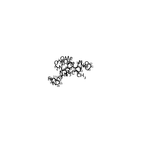 CO[C@]1(C)COCCN(c2nc(OC[C@@]34CCCN3C[C@H](F)C4)nc3sc4c(-c5c(C(F)(F)F)c(C)cc6c5cnn6C5CCCCO5)nccc4c23)C1